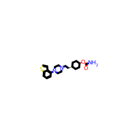 NC(=O)O[C@H]1CC[C@H](CCN2CCN(c3cccc4sccc34)CC2)CC1